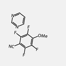 COc1c(F)c(F)c(C#N)c(F)c1F.c1cncnc1